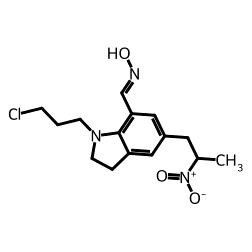 CC(Cc1cc(C=NO)c2c(c1)CCN2CCCCl)[N+](=O)[O-]